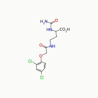 NC(=O)NC(CCNC(=O)COc1ccc(Cl)cc1Cl)C(=O)O